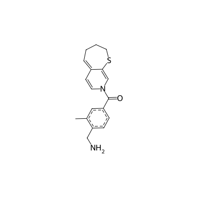 Cc1cc(C(=O)N2C=CC3=CCCCSC3=C2)ccc1CN